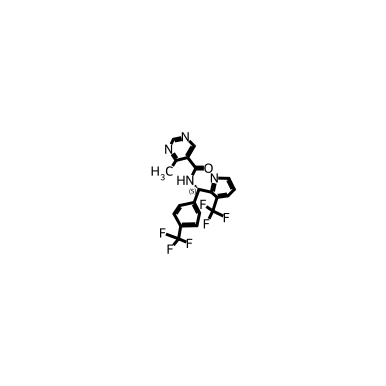 Cc1ncncc1C(=O)N[C@@H](c1ccc(C(F)(F)F)cc1)c1ncccc1C(F)(F)F